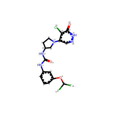 O=C(Nc1cccc(OC(F)F)c1)NC1CCN(c2cn[nH]c(=O)c2Cl)C1